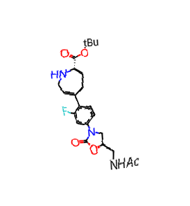 CC(=O)NCC1CN(c2ccc(C3=CCN[C@H](C(=O)OC(C)(C)C)CC3)c(F)c2)C(=O)O1